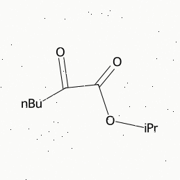 CCCCC(=O)C(=O)OC(C)C